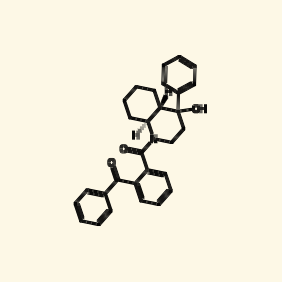 O=C(c1ccccc1)c1ccccc1C(=O)N1CCC(O)(c2ccccc2)[C@H]2CCCC[C@@H]21